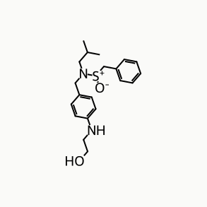 CC(C)CN(Cc1ccc(NCCO)cc1)[S@@+]([O-])Cc1ccccc1